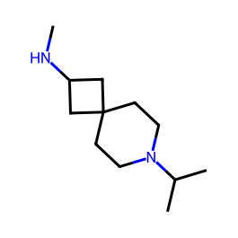 CNC1CC2(CCN(C(C)C)CC2)C1